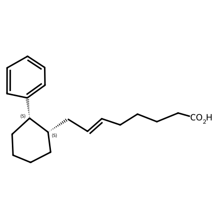 O=C(O)CCCCC=CC[C@@H]1CCCC[C@@H]1c1ccccc1